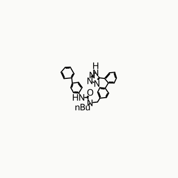 CCCCN(Cc1ccc(-c2ccccc2-c2nnn[nH]2)cc1)C(=O)Nc1ccc(-c2ccccc2)cc1